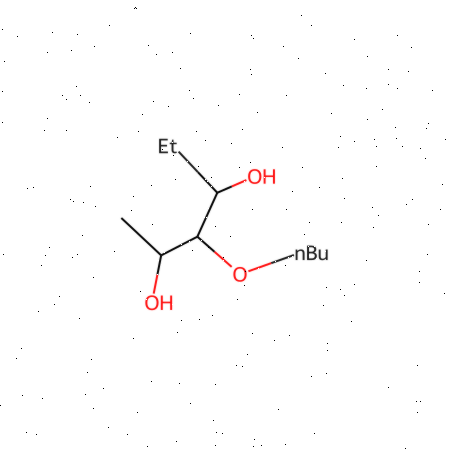 CCCCOC(C(C)O)C(O)CC